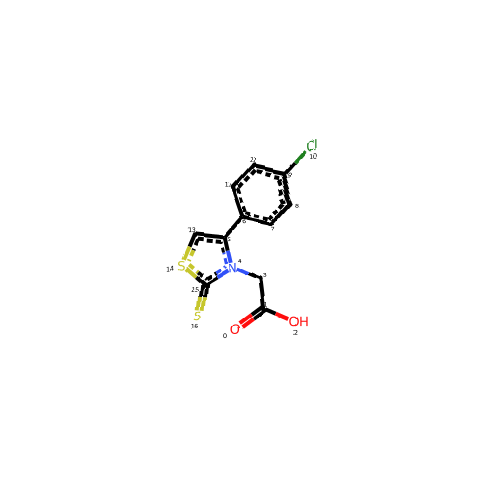 O=C(O)Cn1c(-c2ccc(Cl)cc2)csc1=S